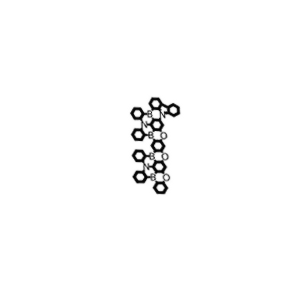 c1ccc2c(c1)Oc1cc3c4c5c1B2c1ccccc1N5c1ccccc1B4c1cc2c(cc1O3)Oc1cc3c4c5c1B2c1ccccc1N5c1ccccc1B4c1cccc2c4ccccc4n-3c12